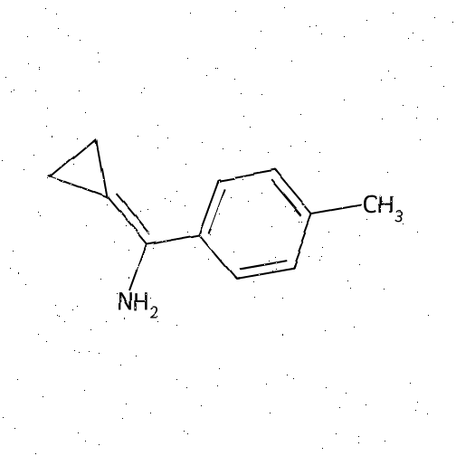 Cc1ccc(C(N)=C2CC2)cc1